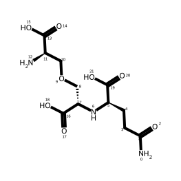 NC(=O)CC[C@@H](N[C@@H](COC[C@@H](N)C(=O)O)C(=O)O)C(=O)O